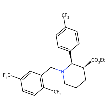 CCOC(=O)[C@H]1CCCN(Cc2cc(C(F)(F)F)ccc2C(F)(F)F)[C@H]1c1ccc(C(F)(F)F)cc1